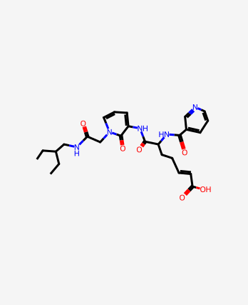 CCC(CC)CNC(=O)Cn1cccc(NC(=O)C(CCC=CC(=O)O)NC(=O)c2cccnc2)c1=O